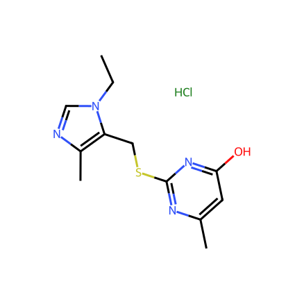 CCn1cnc(C)c1CSc1nc(C)cc(O)n1.Cl